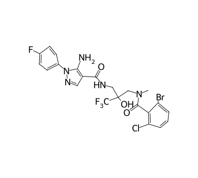 CN(CC(O)(CNC(=O)c1cnn(-c2ccc(F)cc2)c1N)C(F)(F)F)C(=O)c1c(Cl)cccc1Br